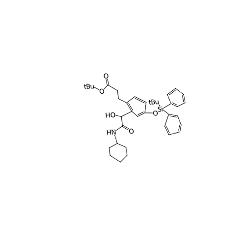 CC(C)(C)OC(=O)CCc1ccc(O[Si](c2ccccc2)(c2ccccc2)C(C)(C)C)cc1C(O)C(=O)NC1CCCCC1